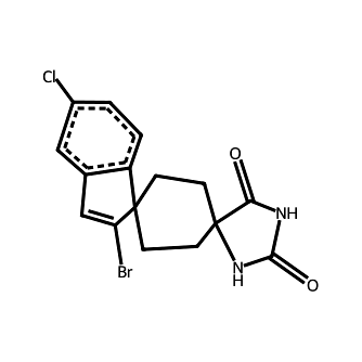 O=C1NC(=O)C2(CCC3(CC2)C(Br)=Cc2cc(Cl)ccc23)N1